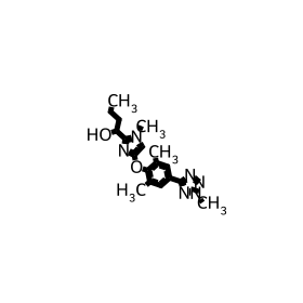 CCCC(O)c1nc(Oc2c(C)cc(-c3nnn(C)n3)cc2C)cn1C